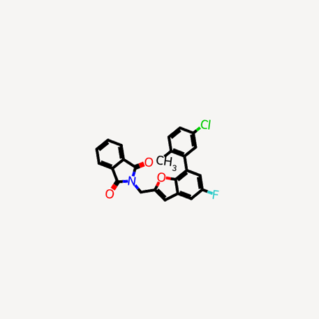 Cc1ccc(Cl)cc1-c1cc(F)cc2cc(CN3C(=O)c4ccccc4C3=O)oc12